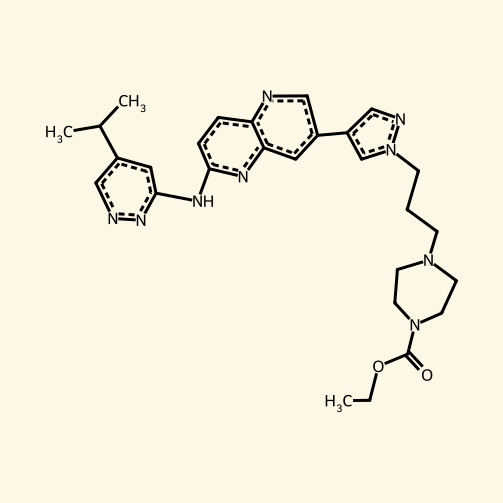 CCOC(=O)N1CCN(CCCn2cc(-c3cnc4ccc(Nc5cc(C(C)C)cnn5)nc4c3)cn2)CC1